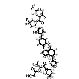 COC(=O)N[C@H](C(=O)N1CC(F)(F)C[C@H]1c1ncc(-c2ccc3c(c2)Oc2ccc(-c4cnc([C@@H]5CC(F)(F)CN5C(=O)[C@@H](NC(=O)CO)C(C)C)[nH]4)c4ccn-3c24)[nH]1)C(C)C